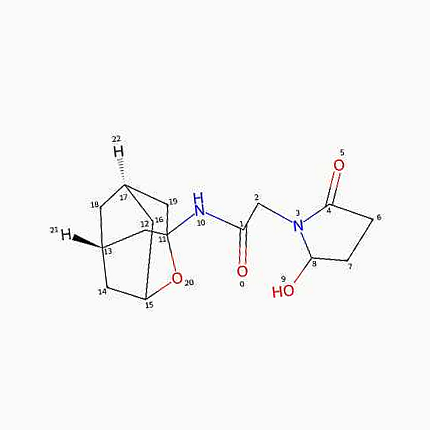 O=C(CN1C(=O)CCC1O)NC12C[C@@H]3CC(C[C@@H](C3)C1)O2